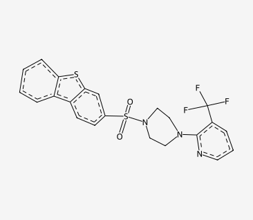 O=S(=O)(c1ccc2c(c1)sc1ccccc12)N1CCN(c2ncccc2C(F)(F)F)CC1